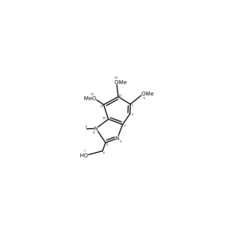 COc1cc2nc(CO)n(C)c2c(OC)c1OC